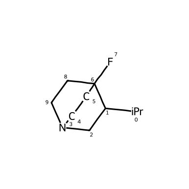 CC(C)C1CN2CCC1(F)CC2